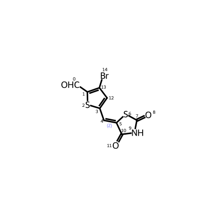 O=Cc1sc(/C=C2\SC(=O)NC2=O)cc1Br